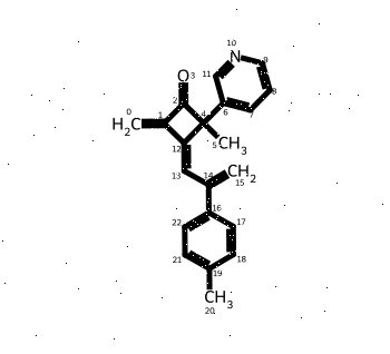 C=C1C(=O)C(C)(c2cccnc2)/C1=C\C(=C)c1ccc(C)cc1